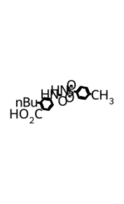 CCCCc1cc(NC(=O)NS(=O)(=O)c2ccc(C)cc2)ccc1C(=O)O